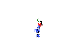 C[C@@H](OC(=O)N1CCN(c2cnn3cc(C4C=NN(C)C4)cnc23)CC1)c1ccc(Cl)cc1